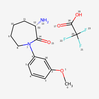 COc1cccc(N2CCCC[C@H](N)C2=O)c1.O=C(O)C(F)(F)F